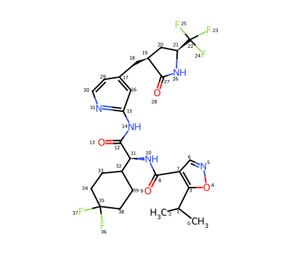 CC(C)c1oncc1C(=O)N[C@H](C(=O)Nc1cc(C[C@H]2C[C@@H](C(F)(F)F)NC2=O)ccn1)C1CCC(F)(F)CC1